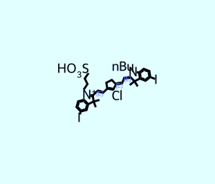 CCCCN1/C(=C/C=C2\CCC(/C=C/C3=[N+](CCCCS(=O)(=O)O)c4ccc(I)cc4C3(C)C)=C2Cl)C(C)(C)c2cc(I)ccc21